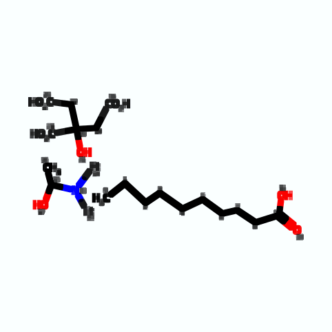 CCCCCCCCCC(=O)O.CCN(CC)C(C)O.O=C(O)CC(O)(CC(=O)O)C(=O)O